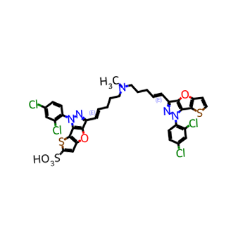 CN(CCC/C=C/c1nn(-c2ccc(Cl)cc2Cl)c2c1oc1ccsc12)CCC/C=C/c1nn(-c2ccc(Cl)cc2Cl)c2c1oc1cc(S(=O)(=O)O)sc12